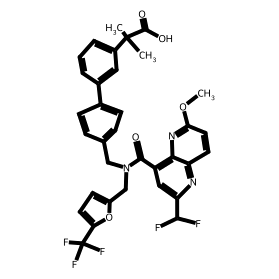 COc1ccc2nc(C(F)F)cc(C(=O)N(Cc3ccc(-c4cccc(C(C)(C)C(=O)O)c4)cc3)Cc3ccc(C(F)(F)F)o3)c2n1